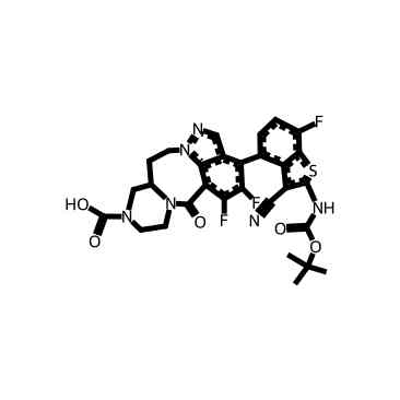 CC(C)(C)OC(=O)Nc1sc2c(F)ccc(-c3c(F)c(F)c4c5c3cnn5CCC3CN(C(=O)O)CCN3C4=O)c2c1C#N